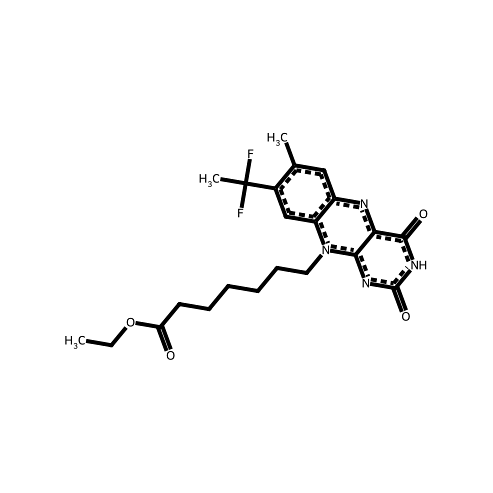 CCOC(=O)CCCCCCn1c2nc(=O)[nH]c(=O)c-2nc2cc(C)c(C(C)(F)F)cc21